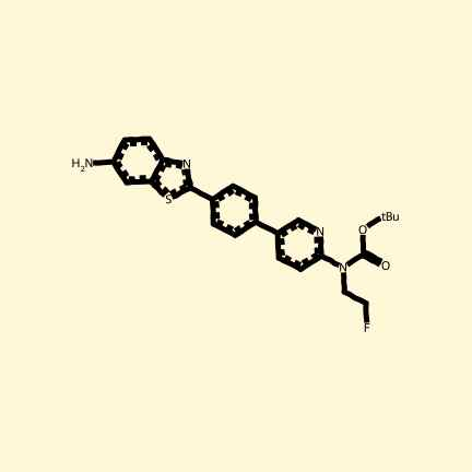 CC(C)(C)OC(=O)N(CCF)c1ccc(-c2ccc(-c3nc4ccc(N)cc4s3)cc2)cn1